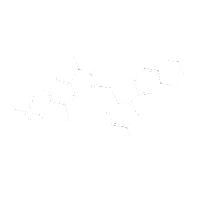 CC(C(=O)NCc1ccc(C(F)(F)F)nc1-c1ccc2c(c1)OCCO2)c1ccc(NS(C)(=O)=O)c(F)c1